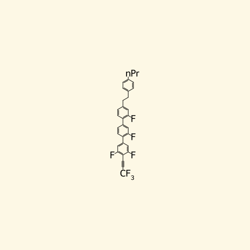 CCCc1ccc(CCc2ccc(-c3ccc(-c4cc(F)c(C#CC(F)(F)F)c(F)c4)c(F)c3)c(F)c2)cc1